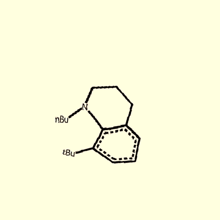 CCCCN1CCCc2cccc(C(C)(C)C)c21